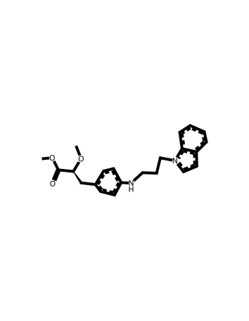 COC(=O)[C@H](Cc1ccc(NCCCn2ccc3ccccc32)cc1)OC